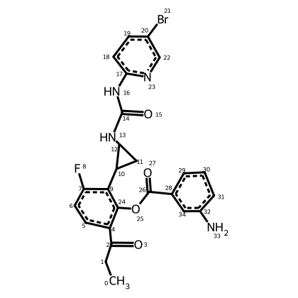 CCC(=O)c1ccc(F)c(C2CC2NC(=O)Nc2ccc(Br)cn2)c1OC(=O)c1cccc(N)c1